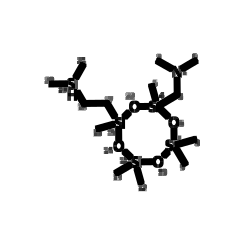 CN(C)C[Si]1(C)O[Si](C)(C)O[Si](C)(C)O[Si](C)(CC[SiH](C)C)O1